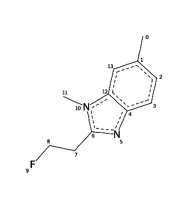 Cc1ccc2nc(CCF)n(C)c2c1